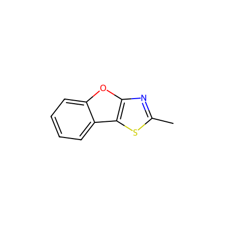 Cc1nc2oc3ccccc3c2s1